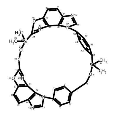 C[Si]1(C)OCc2ccc(cc2)-n2cnc3ccc4oc(nc4c32)CO[Si](C)(C)c2nc3c(ccc4ncn(c43)-c3ccc1cc3)o2